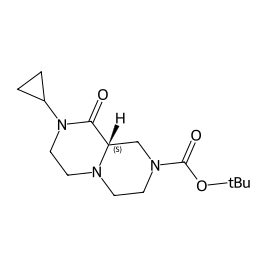 CC(C)(C)OC(=O)N1CCN2CCN(C3CC3)C(=O)[C@@H]2C1